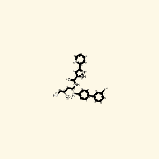 O=C(N[C@H](Cc1ccc(-c2cccc(F)c2)cc1)C[C@@H](CO)C(=O)O)c1cc(-c2ccccn2)n[nH]1